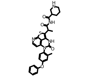 Cc1cc(Oc2ccccc2)ccc1N1C(=O)Nc2c(C(C)C(=O)NC(=O)C3CCCNC3)sc3nccc1c23